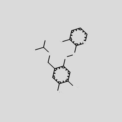 COc1cc(CNC(C)C(C)=O)c(SSc2ncccc2[N+](=O)[O-])cc1OC